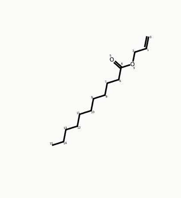 C=CCOC(=O)CCCCCCCCCC